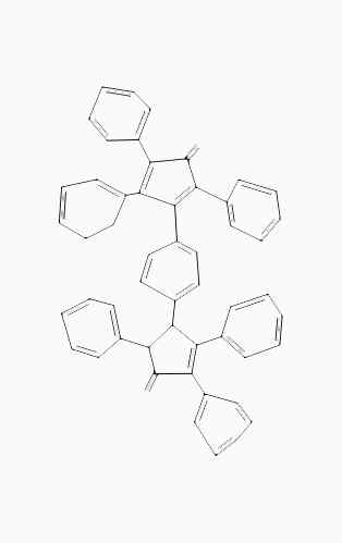 O=C1C(c2ccccc2)=C(C2=CC=CCC2)C(c2ccc(C3C(c4ccccc4)=C(c4ccccc4)C(=O)C3c3ccccc3)cc2)=C1c1ccccc1